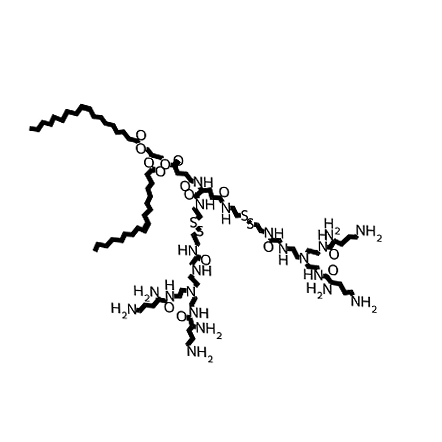 CCCCCCCC/C=C\CCCCCCCC(=O)OCC(COC(=O)CCC(=O)NC(CCC(=O)NCCSSCCNC(=O)CNCCN(CCNC(=O)C(N)CCCN)CCNC(=O)C(N)CCCN)C(=O)NCCSSCCNC(=O)CNCCN(CCNC(=O)C(N)CCCN)CCNC(=O)C(N)CCCN)OC(=O)CCCCCCC/C=C\CCCCCCCC